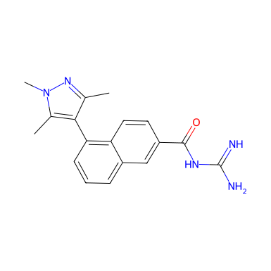 Cc1nn(C)c(C)c1-c1cccc2cc(C(=O)NC(=N)N)ccc12